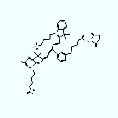 CC1(C)C2=CC(Cl)=CN(CCCCS(=O)(=O)O)C2=N/C1=C/C=C(/C=C/C1=[N+](CCCCS(=O)(=O)O)c2ccccc2C1(C)C)c1cccc(CCCCC(=O)ON2C(=O)CCC2=O)c1